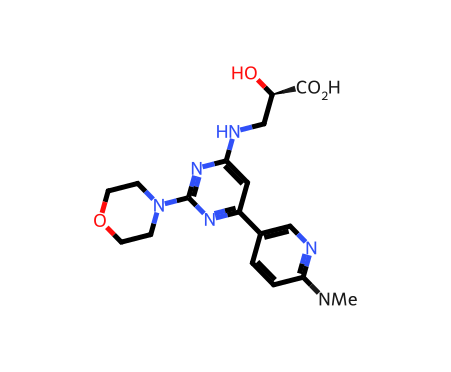 CNc1ccc(-c2cc(NC[C@@H](O)C(=O)O)nc(N3CCOCC3)n2)cn1